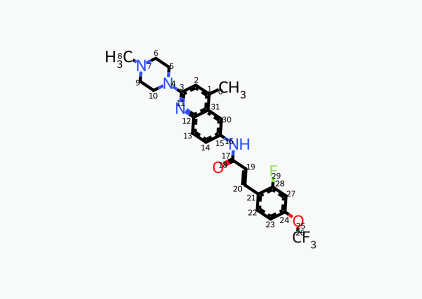 Cc1cc(N2CCN(C)CC2)nc2ccc(NC(=O)/C=C/c3ccc(OC(F)(F)F)cc3F)cc12